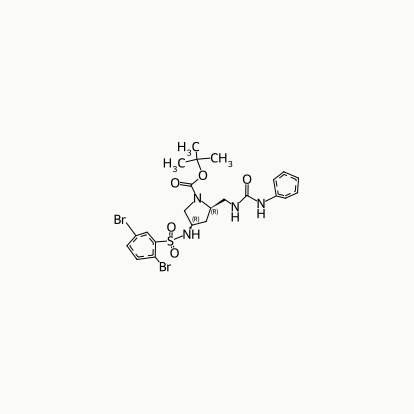 CC(C)(C)OC(=O)N1C[C@H](NS(=O)(=O)c2cc(Br)ccc2Br)C[C@@H]1CNC(=O)Nc1ccccc1